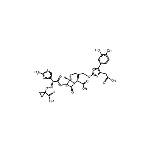 Nc1nc(C(=NOC2(C(=O)O)CC2)C(=O)N[C@@H]2C(=O)N3C(C(=O)O)=C(CSc4nc(-c5ccc(O)c(O)c5)c(CC(=O)O)s4)CS[C@@H]23)cs1